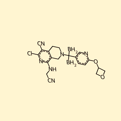 BC(B)(c1ccc(OC2COC2)nc1)N1CCc2c(C#N)c(Cl)nc(NCC#N)c2C1